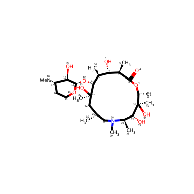 CC[C@H]1OC(=O)[C@H](C)[C@@H](O)[C@H](C)[C@@H](O[C@@H]2OCC[C@H](NC)[C@H]2O)[C@](C)(O)C[C@@H](C)CN(C)[C@H](C)[C@@H](O)[C@]1(C)O